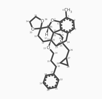 Cc1ccc2c3c1O[C@H]1C4(CC[C@@]5(OCCCc6ccccc6)C(C2)N(CC2CC2)CC[C@]315)OCCO4